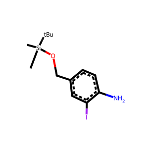 CC(C)(C)[Si](C)(C)OCc1ccc(N)c(I)c1